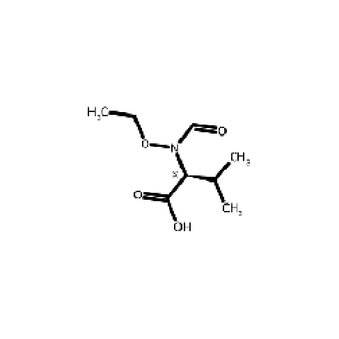 CCON(C=O)[C@H](C(=O)O)C(C)C